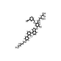 N#Cc1cncc(COc2nc(O[C@H]3CCc4c(-c5cccc(-c6ccc(OCCNCCO)cc6)c5Cl)cccc43)c(Cl)cc2CNC[C@@H](O)CC(=O)O)c1